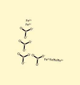 [Fe+2].[Fe+2].[Fe+2].[Fe+2].[Fe+2].[Fe+2].[O-]B([O-])[O-].[O-]B([O-])[O-].[O-]B([O-])[O-].[O-]B([O-])[O-]